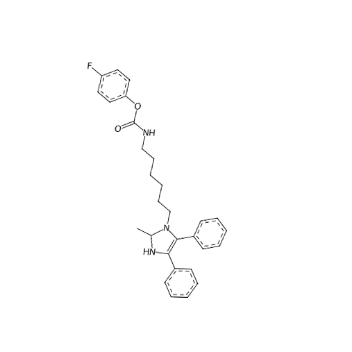 CC1NC(c2ccccc2)=C(c2ccccc2)N1CCCCCCNC(=O)Oc1ccc(F)cc1